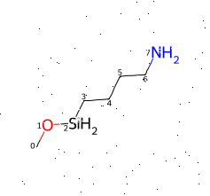 CO[SiH2]CCCCN